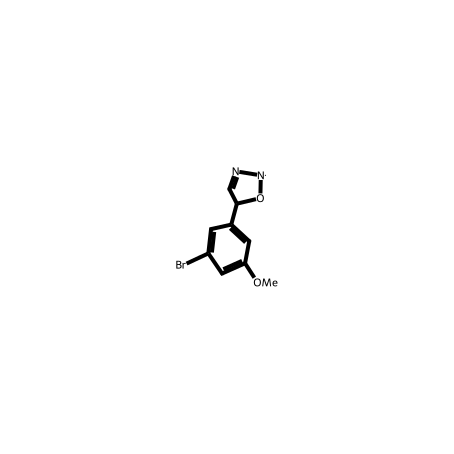 COc1cc(Br)cc(C2C=N[N]O2)c1